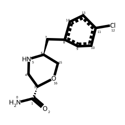 NC(=O)[C@@H]1CN[C@@H](Cc2ccc(Cl)cc2)CO1